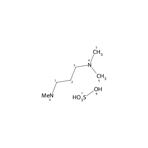 CNCCCN(C)C.O=S(=O)(O)O